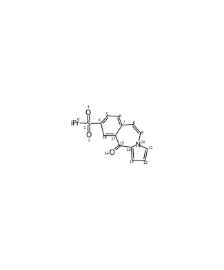 CC(C)S(=O)(=O)c1ccc2ccn3cccc3c(=O)c2c1